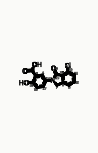 O=C(O)c1cc(N2Cc3cccc(Cl)c3C2=O)ccc1O